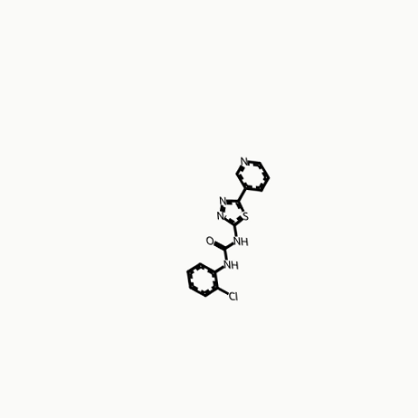 O=C(Nc1nnc(-c2cccnc2)s1)Nc1ccccc1Cl